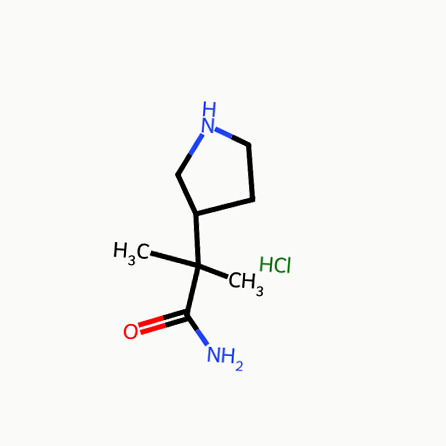 CC(C)(C(N)=O)C1CCNC1.Cl